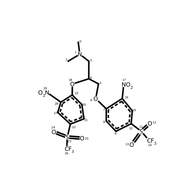 CN(C)CC(COc1ccc(S(=O)(=O)C(F)(F)F)cc1[N+](=O)[O-])Oc1ccc(S(=O)(=O)C(F)(F)F)cc1[N+](=O)[O-]